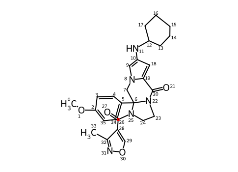 COc1ccc(C23Cn4cc(NC5CCCCC5)cc4C(=O)N2CCN3C(=O)c2conc2C)cc1